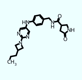 CCCC1CN(c2ncc(Nc3ccc(CNC(=O)C4CNC(=O)C4)cc3)cn2)C1